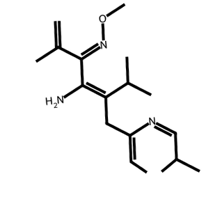 C=C(C)C(=N\OC)/C(N)=C(/CC(=C/C)/N=C\C(C)C)C(C)C